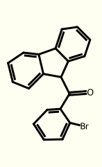 O=C(c1ccccc1Br)C1c2ccccc2-c2ccccc21